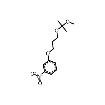 COC(C)(C)OCCCOc1cccc([N+](=O)[O-])c1